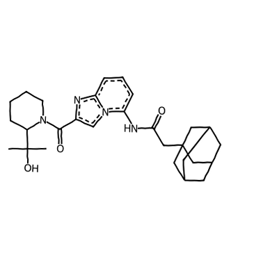 CC(C)(O)C1CCCCN1C(=O)c1cn2c(NC(=O)CC34CC5CC(CC(C5)C3)C4)cccc2n1